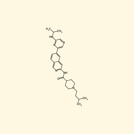 CC(C)CCN1CCC(C(=O)Nc2cc3cc(-c4cncc(NC(C)C)n4)ccc3cn2)CC1